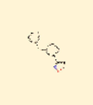 [c]1ccc(-c2ccon2)cc1Cc1ccccc1